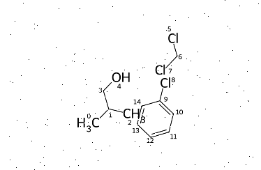 CC(C)CO.ClCCl.Clc1ccccc1